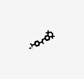 COC(C)c1ccc(/C(C)=C/c2ccc3c(c2)C(C)(C)CCC3(C)C)cc1